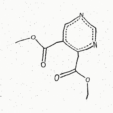 COC(=O)c1cncnc1C(=O)OC